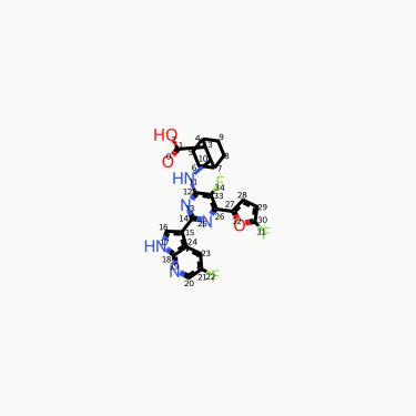 O=C(O)C1C2CCC(CC2)C1Nc1nc(-c2c[nH]c3ncc(F)cc23)nc(-c2ccc(F)o2)c1F